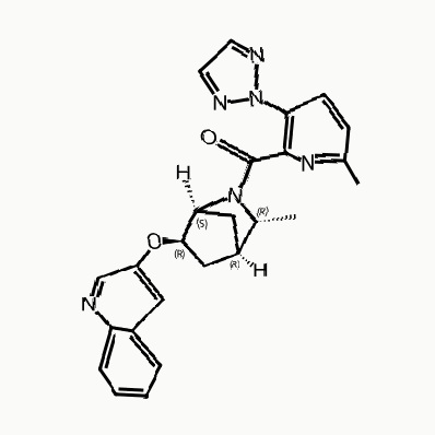 Cc1ccc(-n2nccn2)c(C(=O)N2[C@H](C)[C@H]3C[C@@H](Oc4cnc5ccccc5c4)[C@@H]2C3)n1